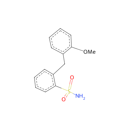 COc1ccccc1Cc1ccccc1S(N)(=O)=O